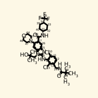 CC(C)(O)Cn1c(Nc2c(Cl)ccc(CNC(=O)C(C)(C)C)c2Cl)nc2cc(C(=O)N[C@H]3CC[C@H](C(F)(F)F)CC3)c(N3CCOCC3)cc21